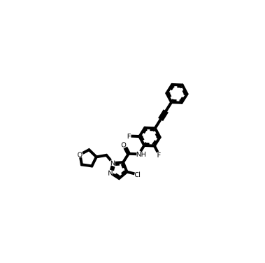 O=C(Nc1c(F)cc(C#Cc2ccccc2)cc1F)c1c(Cl)cnn1CC1CCOC1